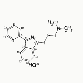 CN(C)CCCn1nc(-c2ccccc2)c2ccccc21.Cl